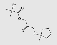 CCC(C)(C)C(=O)OCC(=O)COC1(C)CCCC1